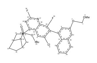 COCOc1cc(-c2c(Cl)cc3c(N4CC5CCC(C4)N5C(=O)OC(C)(C)C)nc(F)nc3c2F)c2ccccc2c1